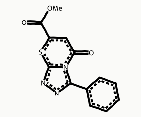 COC(=O)c1cc(=O)n2c(-c3ccccc3)nnc2s1